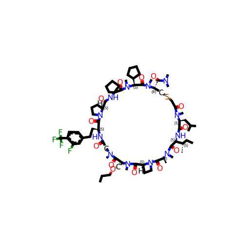 CCCOC[C@H]1C(=O)N(C)CC(=O)N[C@@H](CCc2ccc(C(F)(F)F)c(F)c2)C(=O)N2CCC[C@H]2C(=O)NC2(CCCC2)C(=O)N(C)[C@@H](C2CCCC2)C(=O)N(C)[C@H](C(=O)N(C)C)CSCC(=O)N(C)[C@@H](CC(C)C)C(=O)N[C@@H]([C@@H](C)CC)C(=O)N(C)[C@@H](C)C(=O)N2CC[C@H]2C(=O)N1C